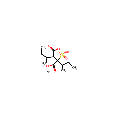 CCC(C)C(C(=O)O)C(C(=O)O)(C(C)CC)S(=O)(=O)O.[KH]